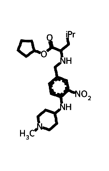 CC(C)CC(NCc1ccc(NC2CCN(C)CC2)c([N+](=O)[O-])c1)C(=O)OC1CCCC1